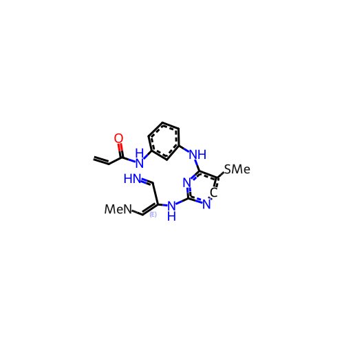 C=CC(=O)Nc1cccc(Nc2nc(N/C(C=N)=C/NC)ncc2SC)c1